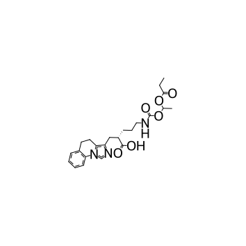 CCC(=O)OC(C)OC(=O)NCCC[C@@H](Cc1ncn2c1CCc1ccccc1-2)C(=O)O